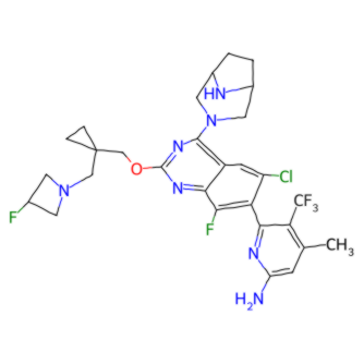 Cc1cc(N)nc(-c2c(Cl)cc3c(N4CC5CCC(C4)N5)nc(OCC4(CN5CC(F)C5)CC4)nc3c2F)c1C(F)(F)F